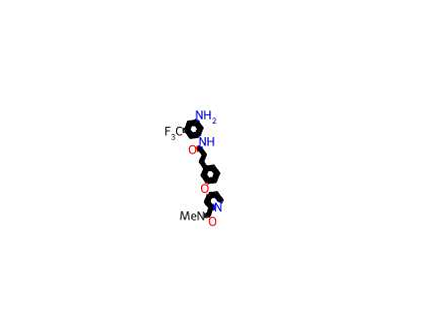 CNC(=O)c1cc(Oc2cccc(CCC(=O)Nc3cc(N)cc(C(F)(F)F)c3)c2)ccn1